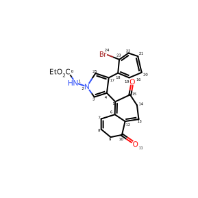 CCOC(=O)Nn1cc(C2=C3C=CCC(=O)C3=CCC2=O)c(-c2ccccc2Br)c1